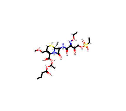 CCCC(=O)OC(C)OC(=O)C1=C(COC)CS[C@H]2C(NC(=O)C(=NOCC)C(=O)COS(=O)(=O)CC)C(=O)N12